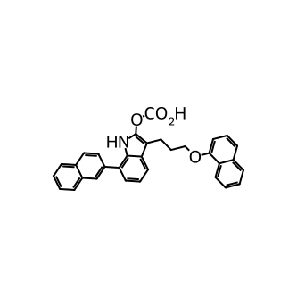 O=C(O)Oc1[nH]c2c(-c3ccc4ccccc4c3)cccc2c1CCCOc1cccc2ccccc12